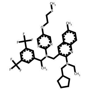 CCN(CC1CCCC1)c1nc2ccc(C)cc2cc1CN(c1ncc(OCCSC)cn1)C(C)c1cc(C(F)(F)F)cc(C(F)(F)F)c1